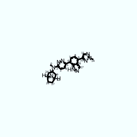 CN(c1ccc(-c2ccc(-c3cnn(C)n3)c3cn[nH]c23)nn1)C1C[C@H]2CC[C@@H](C1)N2